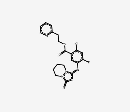 O=C(OCCc1ccccn1)c1cc(/N=c2/sc(=O)n3n2CCCC3)c(F)cc1Cl